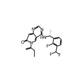 C=C(CC)n1cc2c(N[C@H](C)c3cccc(C(F)F)c3F)ncnc2cc1=O